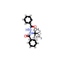 CCC(C)(C)N(NC(=O)c1ccccc1)C(=O)c1ccccc1